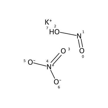 O=NO.O=[N+]([O-])[O-].[K+]